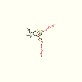 C=C1C=C(c2ccc(C(C)(C)C)s2)C(c2ccc(C(C)(C)C)s2)=C/C(=C/C(c2ccc(OCCOCCOCCOCC)cc2)c2ccc(OCCOCCOCCOCC)cc2)C2=C1C(F)(F)C(F)(F)C2(F)F